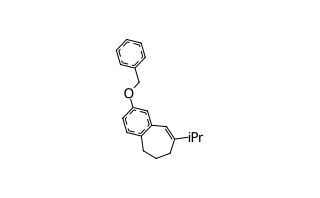 CC(C)C1=Cc2cc(OCc3ccccc3)ccc2CCC1